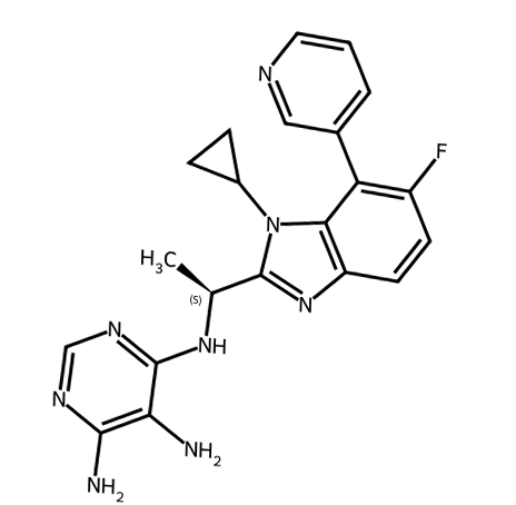 C[C@H](Nc1ncnc(N)c1N)c1nc2ccc(F)c(-c3cccnc3)c2n1C1CC1